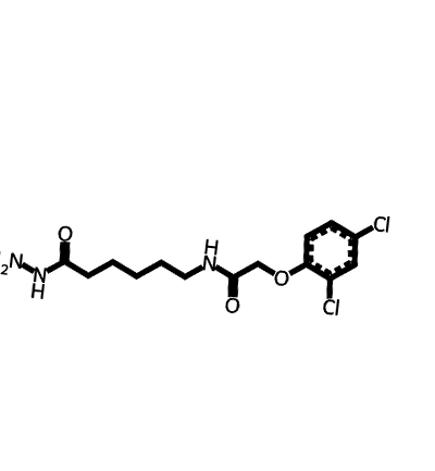 NNC(=O)CCCCCNC(=O)COc1ccc(Cl)cc1Cl